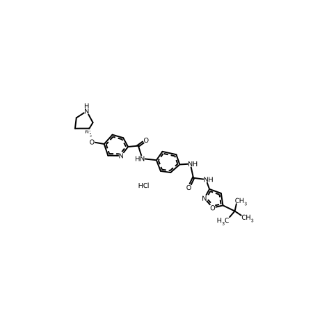 CC(C)(C)c1cc(NC(=O)Nc2ccc(NC(=O)c3ccc(O[C@@H]4CCNC4)cn3)cc2)no1.Cl